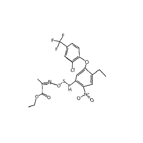 CCOC(=O)C(C)=NOSPc1cc(Oc2ccc(C(F)(F)F)cc2Cl)c(CC)cc1[N+](=O)[O-]